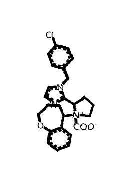 O=C([O-])[N+]1(C2CCCOc3ccccc32)CCCC1c1nccn1Cc1ccc(Cl)cc1